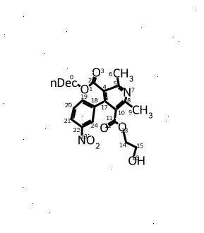 CCCCCCCCCCOC(=O)c1c(C)nc(C)c(C(=O)OCCO)c1-c1cccc([N+](=O)[O-])c1